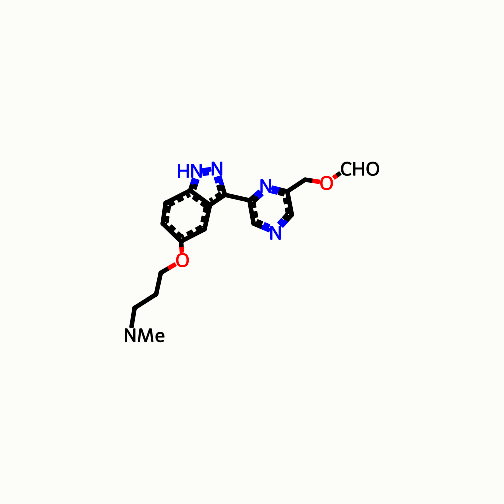 CNCCCOc1ccc2[nH]nc(-c3cncc(COC=O)n3)c2c1